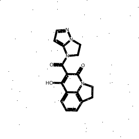 O=C(c1c(O)c2cccc3c2n(c1=O)CC3)N1CCn2nccc21